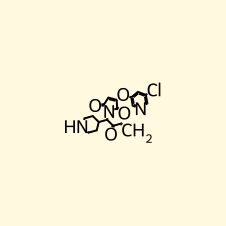 C=CC(=O)C(C1CCNCC1)N1C(=O)C=C(Oc2cncc(Cl)c2)C1=O